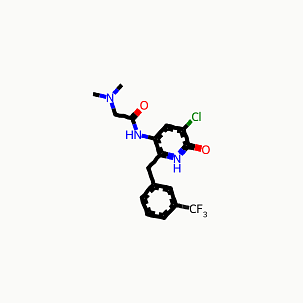 CN(C)CC(=O)Nc1cc(Cl)c(=O)[nH]c1Cc1cccc(C(F)(F)F)c1